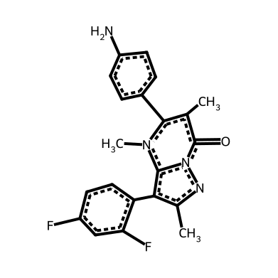 Cc1nn2c(=O)c(C)c(-c3ccc(N)cc3)n(C)c2c1-c1ccc(F)cc1F